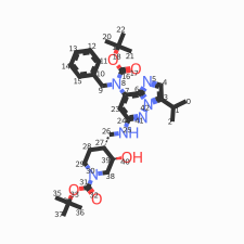 CC(C)c1cnc2c(N(Cc3ccccc3)C(=O)OC(C)(C)C)cc(NC[C@H]3CCN(C(=O)OC(C)(C)C)C[C@@H]3O)nn12